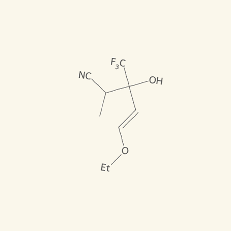 CCO/C=C/C(O)(C(C)C#N)C(F)(F)F